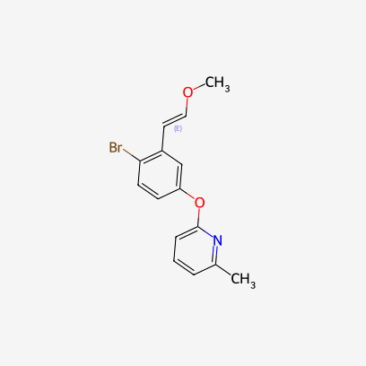 CO/C=C/c1cc(Oc2cccc(C)n2)ccc1Br